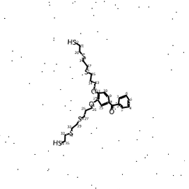 O=C(c1ccccc1)c1ccc(OCCCSCCSCCS)c(OCCCSCCSCCS)c1